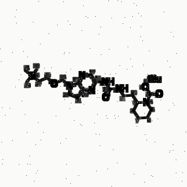 CC(C)(C)OC(=O)N1CCCCC1CCNC(=O)Nc1cnc2c(ccn2COCC[Si](C)(C)C)n1